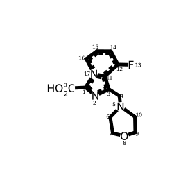 O=C(O)c1nc(CN2CCOCC2)c2c(F)cccn12